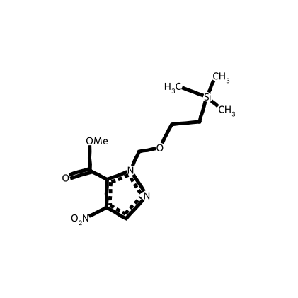 COC(=O)c1c([N+](=O)[O-])cnn1COCC[Si](C)(C)C